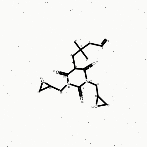 C=CCC(C)(C)CC1C(=O)N(CC2CO2)C(=O)N(CC2CO2)C1=O